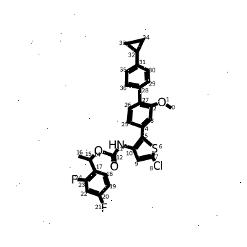 COc1cc(-c2sc(Cl)cc2NC(=O)OC(C)c2ccc(F)cc2F)ccc1-c1ccc(C2CC2)cc1